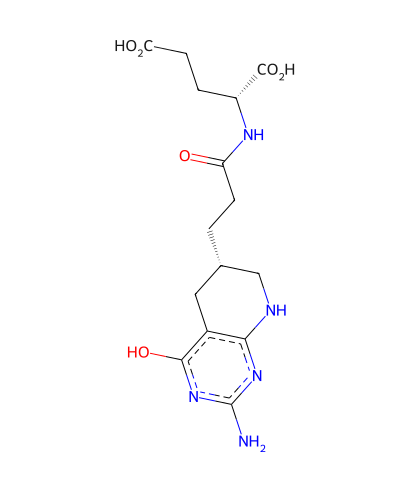 Nc1nc(O)c2c(n1)NC[C@@H](CCC(=O)N[C@H](CCC(=O)O)C(=O)O)C2